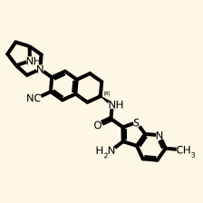 Cc1ccc2c(N)c(C(=O)N[C@@H]3CCc4cc(N5CC6CCC(C5)N6)c(C#N)cc4C3)sc2n1